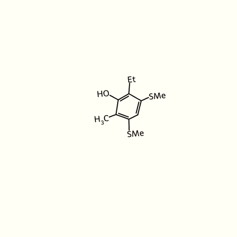 CCc1c(SC)cc(SC)c(C)c1O